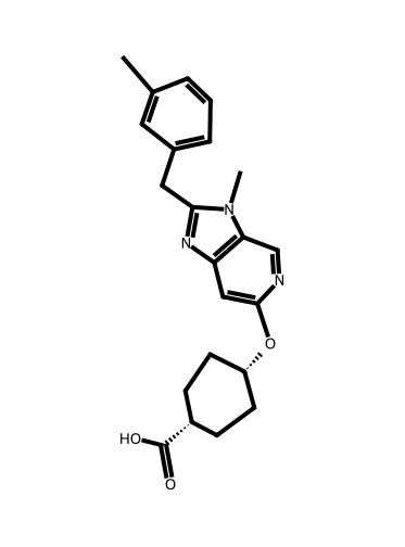 Cc1cccc(Cc2nc3cc(O[C@H]4CC[C@@H](C(=O)O)CC4)ncc3n2C)c1